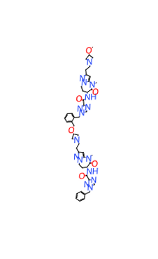 COC1CN(CCc2cc3n(n2)CC[C@H](NC(=O)c2ncn(Cc4ccccc4COC4CN(CCc5cc6n(n5)CC[C@@H](NC(=O)c5ncn(Cc7ccccc7)n5)C(=O)N6C)C4)n2)C(=O)N3C)C1